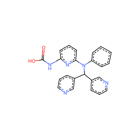 O=C(O)Nc1cccc(N(c2ccccc2)C(c2cccnc2)c2cccnc2)n1